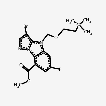 COC(=O)c1cc(F)cc2c1n1ncc(Br)c1n2COCC[Si](C)(C)C